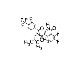 CC(C)CN(C(=O)c1ccc(C(F)(F)F)c(F)c1)[C@@H](C)c1c[nH]c(=O)c2c(F)c(F)ccc12